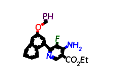 CCOC(=O)c1cnc(-c2cc(OC=P)cc3ccccc23)c(F)c1N